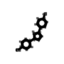 Clc1ccc(-c2ccc(-c3ccc(Cl)cc3)o2)cc1